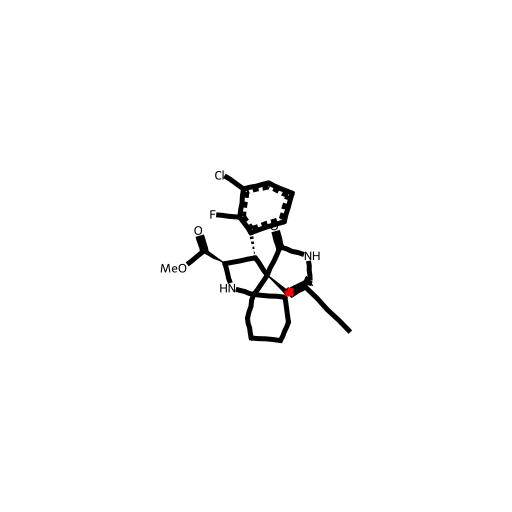 COC(=O)[C@@H]1NC2(CCCCC2)[C@@]2(C(=O)Nc3cc(C)ccc32)[C@H]1c1cccc(Cl)c1F